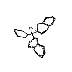 PC(c1ccc2ccccc2c1)(C1C=Cc2ccccc2C1)C1CCCC1